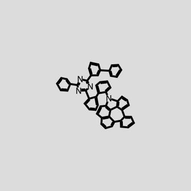 c1ccc(-c2cccc(-c3nc(-c4ccccc4)nc(-c4ccccc4-c4ccccc4-n4c5cccc6c5c5c7c(cccc7ccc54)-c4ccccc4-6)n3)c2)cc1